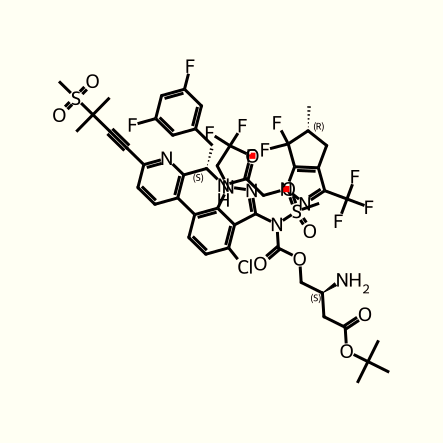 C[C@@H]1Cc2c(C(F)(F)F)nn(CC(=O)N[C@@H](Cc3cc(F)cc(F)c3)c3nc(C#CC(C)(C)S(C)(=O)=O)ccc3-c3ccc(Cl)c4c(N(C(=O)OC[C@@H](N)CC(=O)OC(C)(C)C)S(C)(=O)=O)nn(CC(F)(F)F)c34)c2C1(F)F